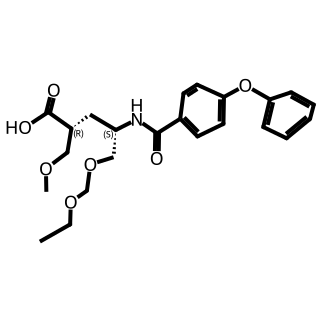 CCOCOC[C@H](C[C@H](COC)C(=O)O)NC(=O)c1ccc(Oc2ccccc2)cc1